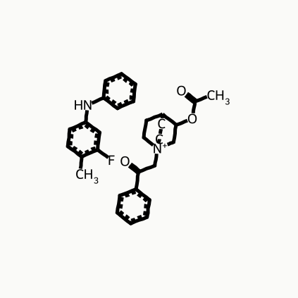 CC(=O)OC1C[N+]2(CC(=O)c3ccccc3)CCC1CC2.Cc1ccc(Nc2ccccc2)cc1F